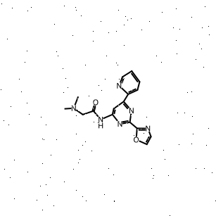 CN(C)CC(=O)Nc1cc(-c2ccccn2)nc(-c2ncco2)n1